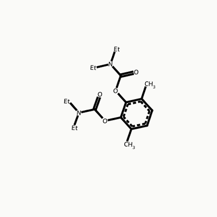 CCN(CC)C(=O)Oc1c(C)ccc(C)c1OC(=O)N(CC)CC